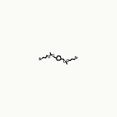 CC(OCCCBr)OCC1CCC(COC(C)OCCCBr)CC1